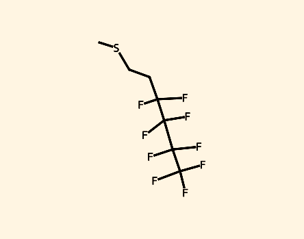 CSCCC(F)(F)C(F)(F)C(F)(F)C(F)(F)F